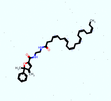 C=C1C=C(C(=O)NCCNC(=O)CC/C=C\C/C=C\C/C=C\C/C=C\C/C=C\C/C=C\CC)OC1(C)c1ccccc1